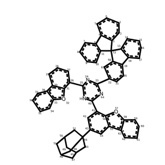 c1ccc2c(c1)-c1ccccc1C21c2ccccc2-c2ccc(-c3nc(-c4cccc5c4oc4ccccc45)nc(-c4cc(C56CC7CC(CC(C7)C5)C6)cc5c4oc4ccccc45)n3)cc21